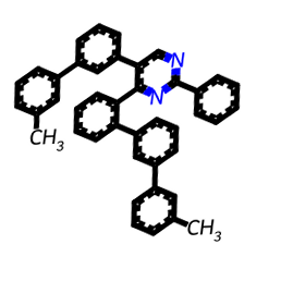 Cc1cccc(-c2cccc(-c3ccccc3-c3nc(-c4ccccc4)ncc3-c3cccc(-c4cccc(C)c4)c3)c2)c1